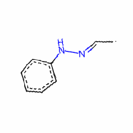 [CH2]C=NNc1ccccc1